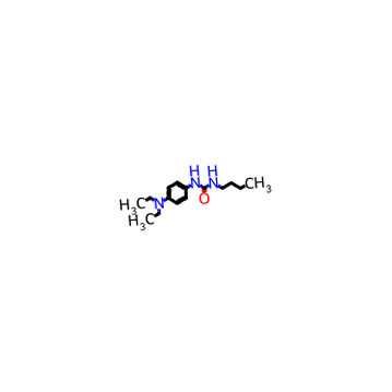 CCCCNC(=O)Nc1ccc(N(CC)CC)cc1